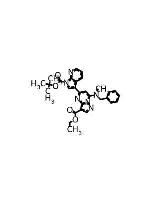 CCOC(=O)c1cnn2c(N(C)Cc3ccccc3)cc(-c3cn(C(=O)OC(C)(C)C)c4ncccc34)nc12